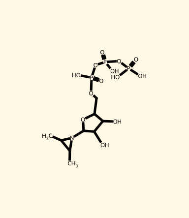 CC1C(C)N1C1OC(COP(=O)(O)OP(=O)(O)OP(=O)(O)O)C(O)C1O